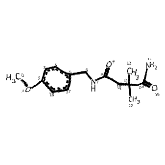 COc1ccc(CNC(=O)[CH]C(C)(C)C(N)=O)cc1